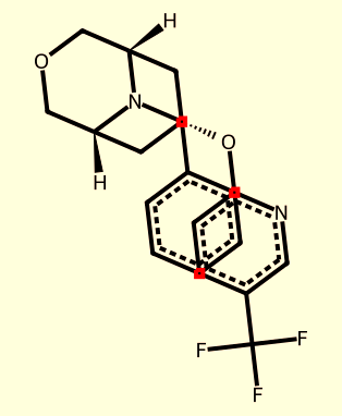 FC(F)(F)c1ccc(O[C@H]2C[C@H]3COC[C@@H](C2)N3Cc2ccccc2)nc1